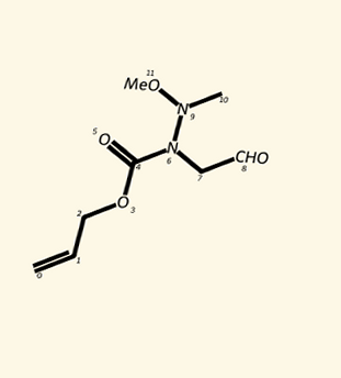 C=CCOC(=O)N(CC=O)N(C)OC